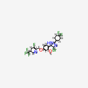 COc1cc(OCC2=C(F)CC(C(F)(F)F)C=N2)ccc1C1NC(C2CCC(F)(F)CC2)=NC1Br